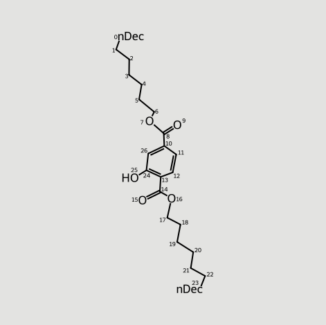 CCCCCCCCCCCCCCCCOC(=O)c1ccc(C(=O)OCCCCCCCCCCCCCCCC)c(O)c1